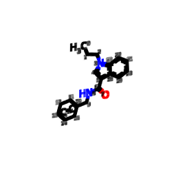 CCCn1cc(C(=O)NCC23CCC(CC2)CC3)c2ccccc21